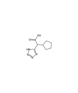 O=C(O)C(c1nnn[nH]1)C1CCCC1